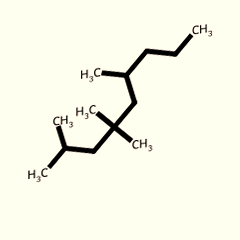 CCCC(C)CC(C)(C)C[C](C)C